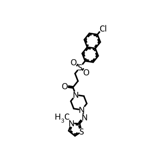 Cn1ccsc1=NN1CCN(C(=O)CCS(=O)(=O)c2ccc3cc(Cl)ccc3c2)CC1